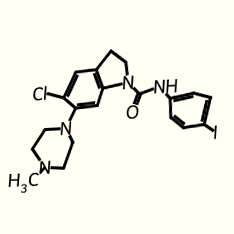 CN1CCN(c2cc3c(cc2Cl)CCN3C(=O)Nc2ccc(I)cc2)CC1